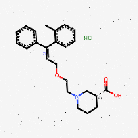 Cc1ccccc1/C(=C\COCCN1CCC[C@@H](C(=O)O)C1)c1ccccc1.Cl